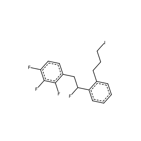 Fc1ccc(CC(F)c2ccccc2CCCI)c(F)c1F